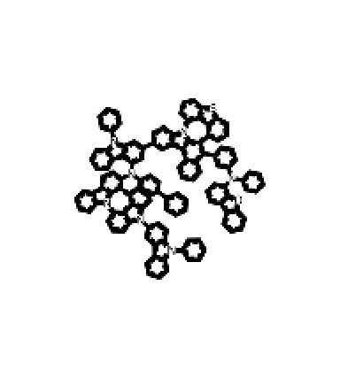 c1ccc(-c2ccc(N(c3cc(-c4ccc5c(c4)c4c6ccccc6c(-c6cccc(N(c7ccccc7)c7cccc8c7oc7ccccc78)c6)c6c7cccc8sc9cccc(c9c87)n5c64)cc4c3c3ccccc3n4-c3ccccc3)c3ccc4c5ccccc5n5c6cccc7c6c6c(cccc6n7-c6ccc7c(c6)c6ccccc6n7-c6ccccc6)c3c45)cc2)cc1